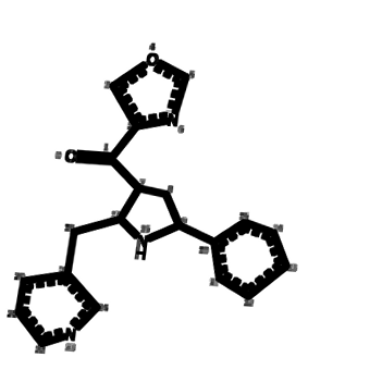 O=C(c1cocn1)C1CC(c2ccccc2)NC1Cc1cccnc1